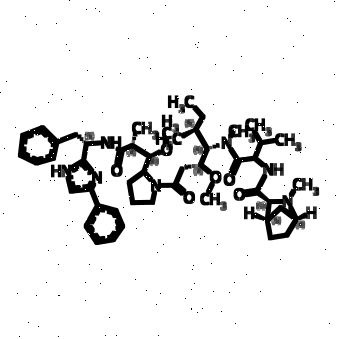 CC[C@H](C)[C@@H]([C@@H](CC(=O)N1CCCC1[C@H](OC)[C@@H](C)C(=O)N[C@@H](Cc1ccccc1)c1nc(-c2ccccc2)c[nH]1)OC)N(C)C(=O)C(NC(=O)[C@@H]1[C@H]2CC[C@H](C2)N1C)C(C)C